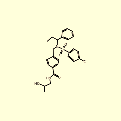 CCC(c1ccccc1)N(Cc1ccc(C(=O)NCC(C)O)cc1)S(=O)(=O)c1ccc(Cl)cc1